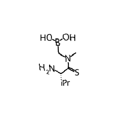 CC(C)[C@H](N)C(=S)N(C)CB(O)O